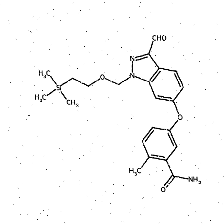 Cc1ccc(Oc2ccc3c(C=O)nn(COCC[Si](C)(C)C)c3c2)cc1C(N)=O